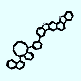 c1cccc(-c2cccc3ccccc23)c2ccccc2c(-c2cccc(-c3ccc4oc5cc6c(ccc7c8ccccc8oc67)cc5c4c3)c2)cc1